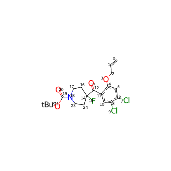 C=CCOc1cc(Cl)c(Cl)cc1C(=O)C1(F)CCN(C(=O)OC(C)(C)C)CC1